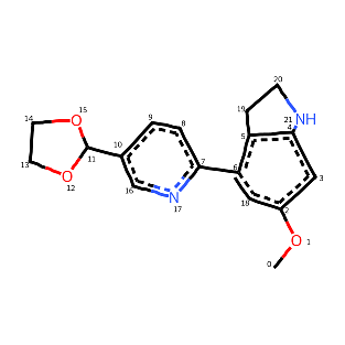 COc1cc2c(c(-c3ccc(C4OCCO4)cn3)c1)CCN2